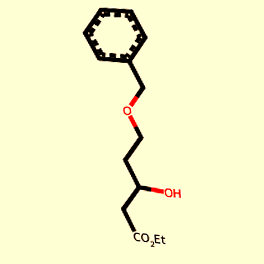 CCOC(=O)CC(O)CCOCc1ccccc1